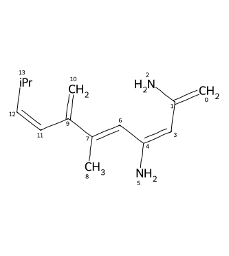 C=C(N)/C=C(N)\C=C(/C)C(=C)/C=C\C(C)C